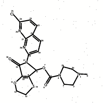 CN1CCN(C(=O)OC2C3=C(OCCS3)C(=O)N2c2ccc3ccc(Cl)nc3n2)CC1